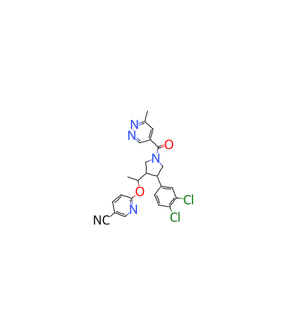 Cc1cc(C(=O)N2CC(c3ccc(Cl)c(Cl)c3)C(C(C)Oc3ccc(C#N)cn3)C2)cnn1